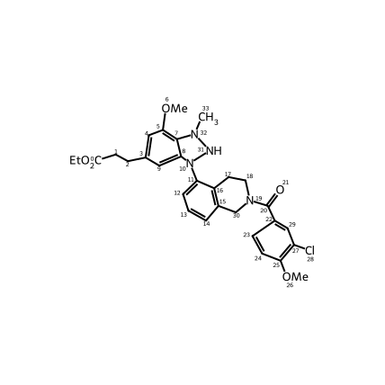 CCOC(=O)CCc1cc(OC)c2c(c1)N(c1cccc3c1CCN(C(=O)c1ccc(OC)c(Cl)c1)C3)NN2C